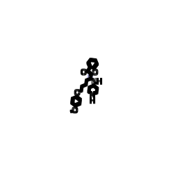 COc1ccc(OCCCC/C(NC2CCNCC2)=C2/Oc3ccccc3C2=O)cc1